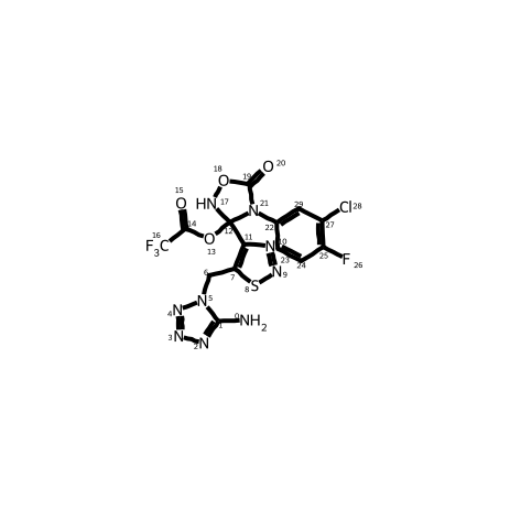 Nc1nnnn1Cc1snnc1C1(OC(=O)C(F)(F)F)NOC(=O)N1c1ccc(F)c(Cl)c1